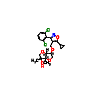 C[C@]12OC[C@H](OCc3c(-c4c(Cl)cccc4Cl)noc3C3CC3)[C@H]1OC[C@@]2(C)O